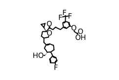 O=C(O)COc1cc(CCCC(=O)[C@@]2(C3CC3)CCC(CC3=CCCC(c4ccc(F)cc4)[C@H](CO)C3)CO2)cc(C(F)(F)F)c1